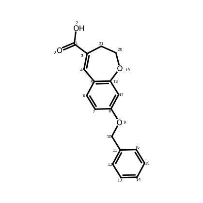 O=C(O)C1=Cc2ccc(OCc3ccccc3)cc2OCC1